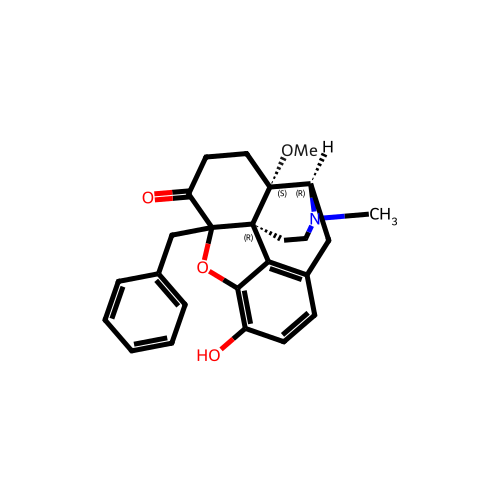 CO[C@@]12CCC(=O)C3(Cc4ccccc4)Oc4c(O)ccc5c4[C@@]31CCN(C)[C@@H]2C5